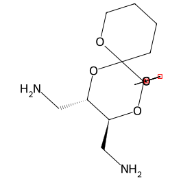 NC[C@@H]1OC2(CCCCO2)[C@@]2(CCCCO2)O[C@H]1CN